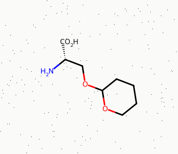 N[C@@H](COC1CCCCO1)C(=O)O